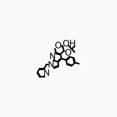 Cc1ccc(-c2c([C@H](OC(C)(C)C)C(=O)O)c(C)nc3c2ccn3Cc2ccccn2)cc1